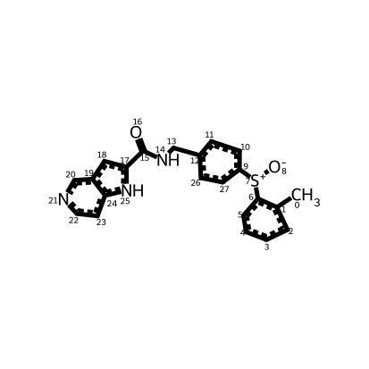 Cc1ccccc1[S+]([O-])c1ccc(CNC(=O)c2cc3cnccc3[nH]2)cc1